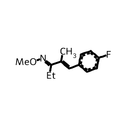 CCC(=N\OC)/C(C)=C/c1ccc(F)cc1